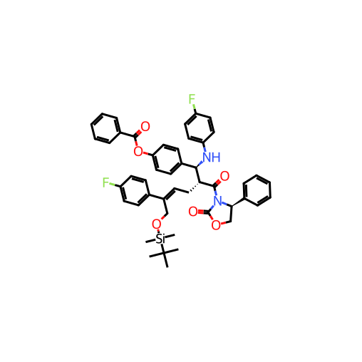 CC(C)(C)[Si](C)(C)OCC(=CC[C@@H](C(=O)N1C(=O)OC[C@@H]1c1ccccc1)[C@H](Nc1ccc(F)cc1)c1ccc(OC(=O)c2ccccc2)cc1)c1ccc(F)cc1